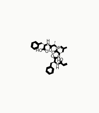 C=CC(=O)N[C@@H](Cc1ccccc1)C(=O)N[C@@H](CC(C)C)C(=O)N[C@@H](C)C(=O)N[C@@H](Cc1ccccc1)C(=O)O